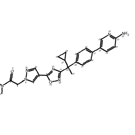 CN(C)C(=O)Cn1cc(-c2nc(C(C)(c3ccc(-c4ccc(N)nc4)cc3)C3CC3)no2)cn1